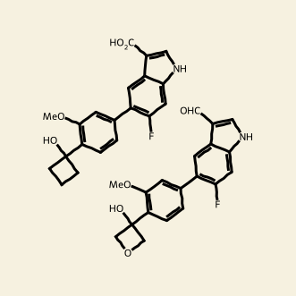 COc1cc(-c2cc3c(C(=O)O)c[nH]c3cc2F)ccc1C1(O)CCC1.COc1cc(-c2cc3c(C=O)c[nH]c3cc2F)ccc1C1(O)COC1